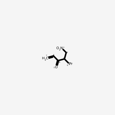 [CH2]C(C)C([CH][N+](=O)[O-])C(=O)C=C